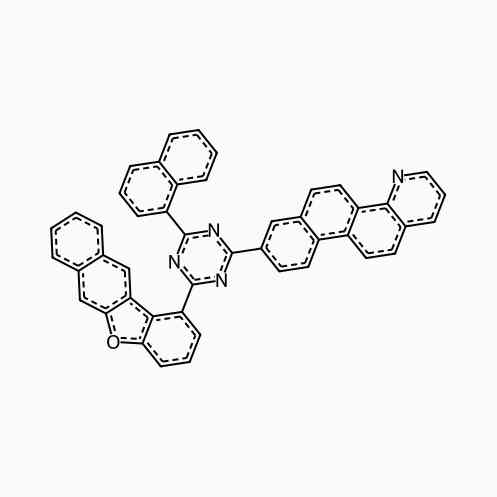 c1ccc2cc3c(cc2c1)oc1cccc(-c2nc(-c4ccc5c(ccc6c5ccc5cccnc56)c4)nc(-c4cccc5ccccc45)n2)c13